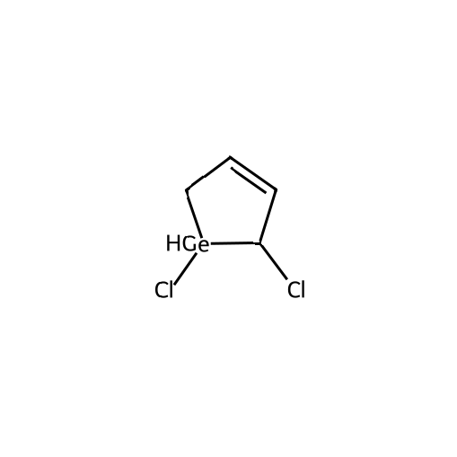 Cl[CH]1C=C[CH2][GeH]1[Cl]